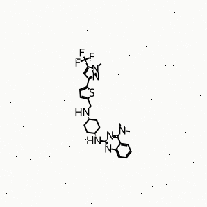 CN(C)c1nc(N[C@H]2CC[C@@H](NCc3ccc(-c4cc(C(F)(F)F)n(C)n4)s3)CC2)nc2ccccc12